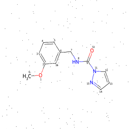 COc1cccc(CNC(=O)n2cccn2)c1